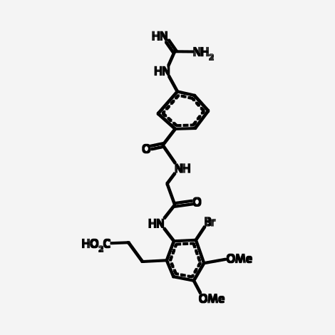 COc1cc(CCC(=O)O)c(NC(=O)CNC(=O)c2cccc(NC(=N)N)c2)c(Br)c1OC